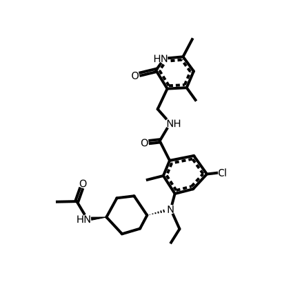 CCN(c1cc(Cl)cc(C(=O)NCc2c(C)cc(C)[nH]c2=O)c1C)[C@H]1CC[C@H](NC(C)=O)CC1